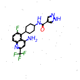 Nc1cc(C(F)(F)F)nc2ccc(F)c(C3CCC(NC(=O)c4cn[nH]c4)CC3)c12